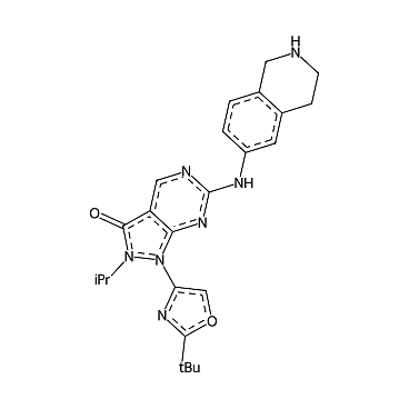 CC(C)n1c(=O)c2cnc(Nc3ccc4c(c3)CCNC4)nc2n1-c1coc(C(C)(C)C)n1